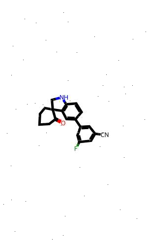 N#Cc1cc(F)cc(-c2ccc3c(c2)C2(CCCCC2=O)CN3)c1